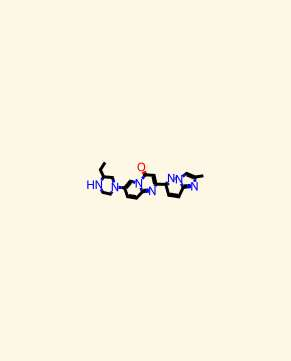 CCC1CN(c2ccc3nc(-c4ccc5nc(C)cn5n4)cc(=O)n3c2)CCN1